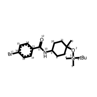 CC1(O[Si](C)(C)C(C)(C)C)CCC(NC(=O)c2ccc(Br)cc2)CC1